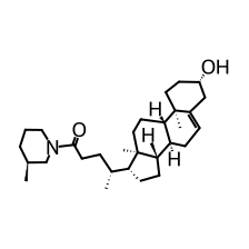 C[C@H]1CCCN(C(=O)CC[C@@H](C)[C@H]2CC[C@H]3[C@@H]4CC=C5C[C@@H](O)CC[C@]5(C)[C@H]4CC[C@]23C)C1